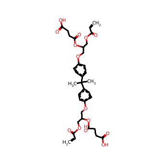 C=CC(=O)OCC(COc1ccc(C(C)(C)c2ccc(OCC(COC(=O)C=C)OC(O)CCC(=O)O)cc2)cc1)OC(=O)CCC(=O)O